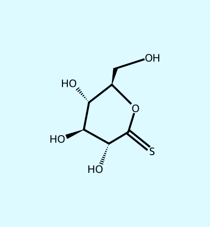 OC[C@H]1OC(=S)[C@H](O)[C@@H](O)[C@@H]1O